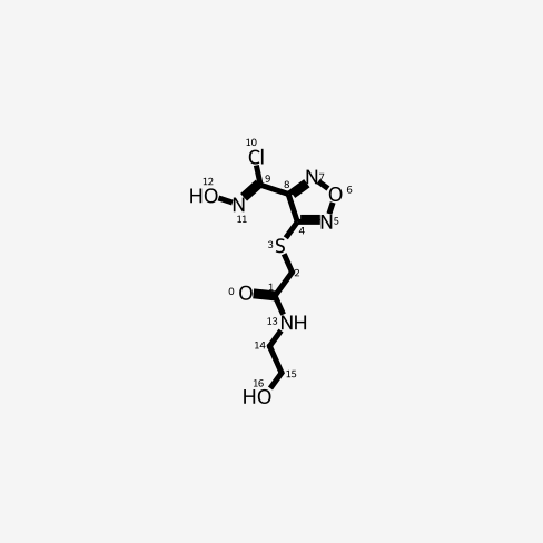 O=C(CSc1nonc1/C(Cl)=N/O)NCCO